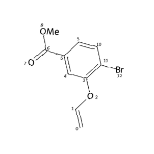 C=COc1cc(C(=O)OC)ccc1Br